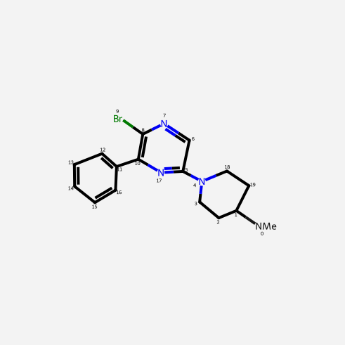 CNC1CCN(c2cnc(Br)c(-c3ccccc3)n2)CC1